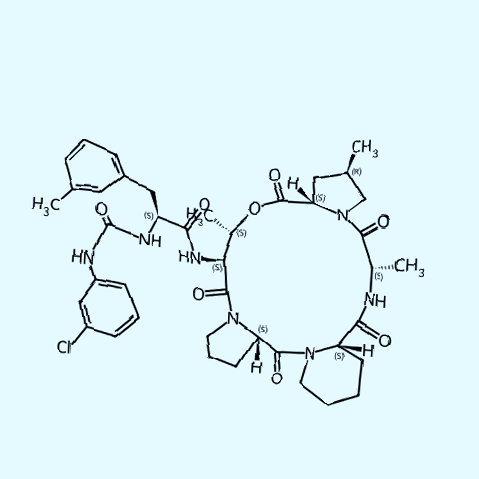 Cc1cccc(C[C@H](NC(=O)Nc2cccc(Cl)c2)C(=O)N[C@@H]2C(=O)N3CCC[C@H]3C(=O)N3CCCC[C@H]3C(=O)N[C@@H](C)C(=O)N3C[C@H](C)C[C@H]3C(=O)O[C@H]2C)c1